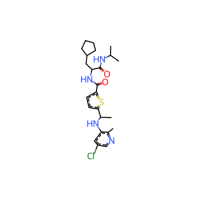 Cc1ncc(Cl)cc1NC(C)c1ccc(C(=O)NC(CC2CCCC2)C(=O)NC(C)C)s1